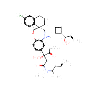 C=CCC(C)N(C)C(=O)CC(O)(C(=O)OC)c1ccc2c(c1)N(C[C@@H]1CC[C@H]1C(O)C=C)C[C@@]1(CCCc3cc(Cl)ccc31)CO2